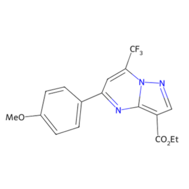 CCOC(=O)c1cnn2c(C(F)(F)F)cc(-c3ccc(OC)cc3)nc12